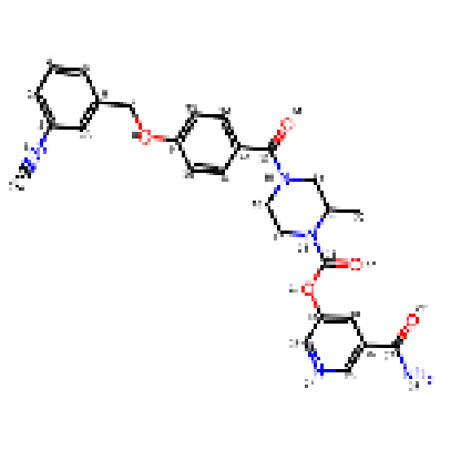 [C-]#[N+]c1cccc(COc2ccc(C(=O)N3CCN(C(=O)Oc4cncc(C(N)=O)c4)C(C)C3)cc2)c1